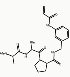 C=CC(=O)Nc1cccc(CNC(=O)C2CCCN2C(=O)C(NC(=O)C(C)NC)C(C)(C)C)c1